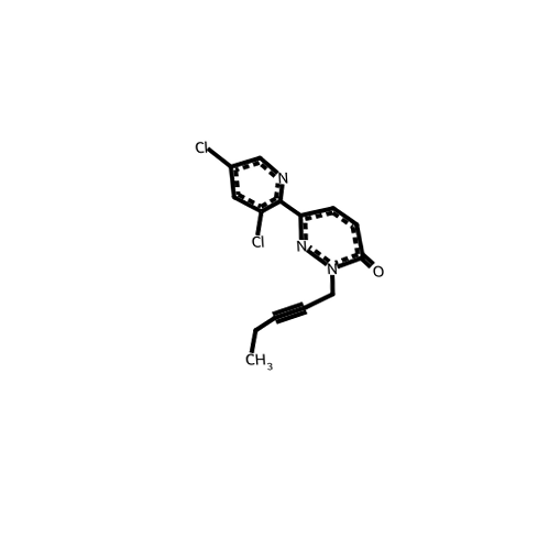 CCC#CCn1nc(-c2ncc(Cl)cc2Cl)ccc1=O